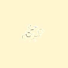 C=N/C(=C\N(C)C)c1nc2c(c(N(C)[C@H](C)C(=O)NC3CCCCC3)n1)CCC2